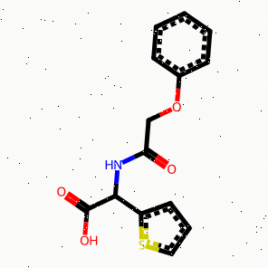 O=C(COc1ccccc1)NC(C(=O)O)c1cccs1